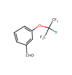 O=[C]c1cccc(OC(F)(C(F)(F)F)C(F)(F)F)c1